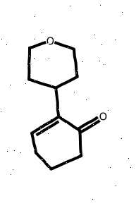 O=C1CCCC=C1C1CCOCC1